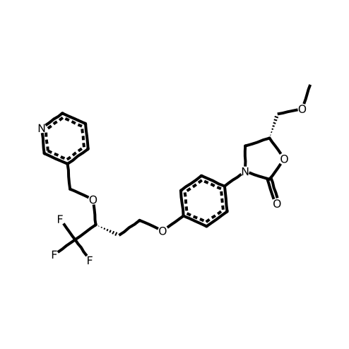 COC[C@H]1CN(c2ccc(OCC[C@@H](OCc3cccnc3)C(F)(F)F)cc2)C(=O)O1